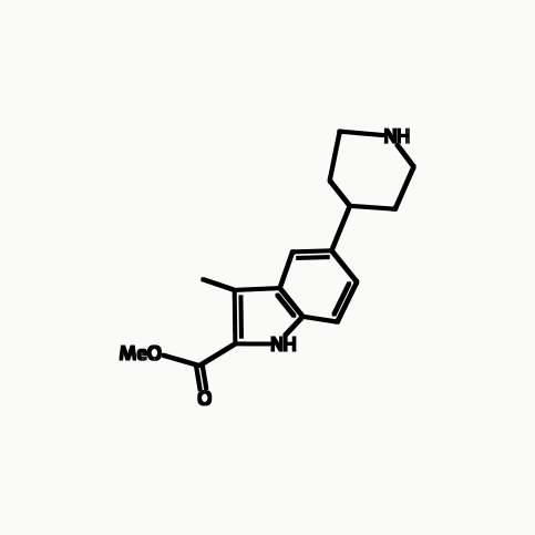 COC(=O)c1[nH]c2ccc(C3CCNCC3)cc2c1C